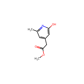 COC(=O)Cc1cc(C)nc(O)c1